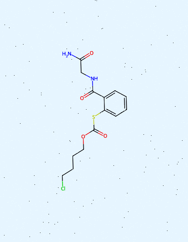 NC(=O)CNC(=O)c1ccccc1SC(=O)OCCCCCl